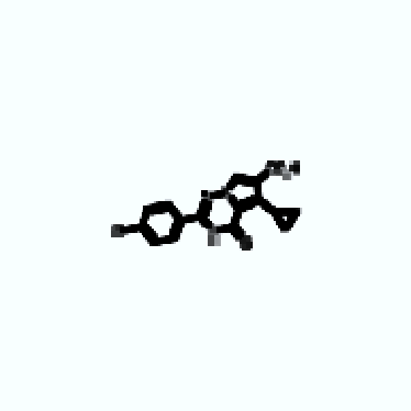 O=C(O)c1cn2nc(-c3ccc(Cl)cc3)[nH]c(=O)c2c1C1CC1